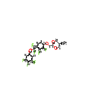 CCCC1COC(COc2ccc(C(F)(F)Oc3cc(F)c(F)c(F)c3)c(F)c2F)OC1